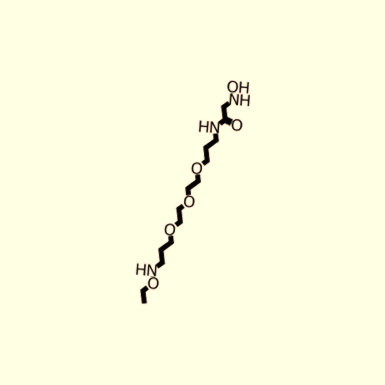 CCONCCCOCCOCCOCCCNC(=O)CNO